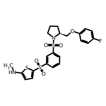 CNc1ccc(S(=O)(=O)c2cccc(S(=O)(=O)N3CCC[C@H]3COc3ccc(F)cc3)c2)s1